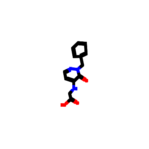 O=C(O)CNc1ccnn(Cc2ccccc2)c1=O